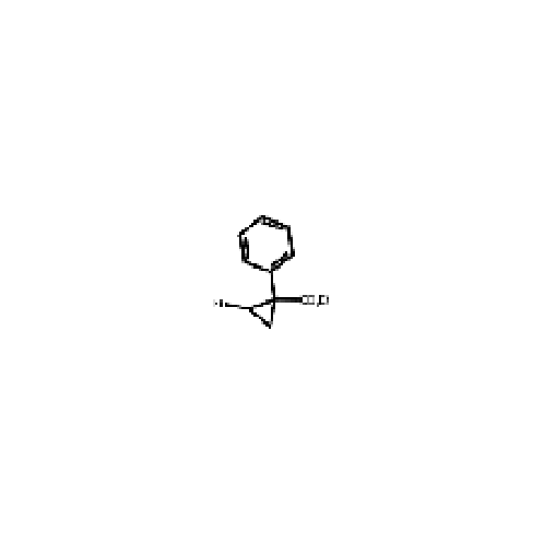 CCOC(=O)C1(c2ccccc2)CC1CC